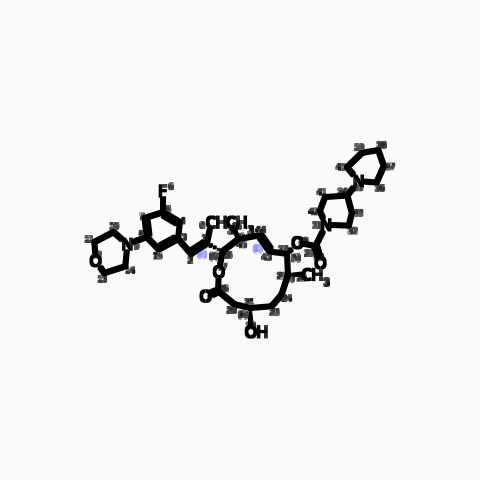 C/C(=C\c1cc(F)cc(N2CCOCC2)c1)[C@H]1OC(=O)C[C@H](O)CC[C@H](C)[C@H](OC(=O)N2CCC(N3CCCCC3)CC2)/C=C/[C@@H]1C